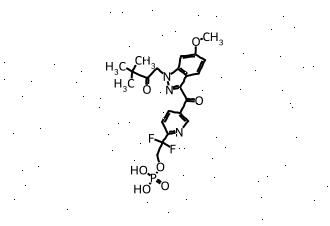 COc1ccc2c(C(=O)c3ccc(C(F)(F)COP(=O)(O)O)nc3)nn(CC(=O)C(C)(C)C)c2c1